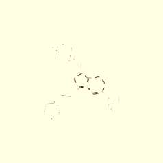 CN1CCN(Cc2cn(CCN3CCCC3)c3cc(NO)ccc23)CC1